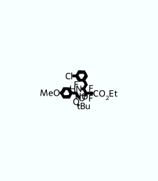 CCOC(=O)C(F)(F)C(O)C(Cc1cccc(Cl)c1F)NC(C(=O)OC(C)(C)C)c1ccc(OC)cc1